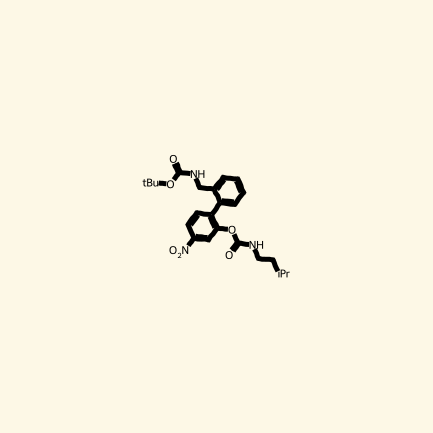 CC(C)CCNC(=O)Oc1cc([N+](=O)[O-])ccc1-c1ccccc1CNC(=O)OC(C)(C)C